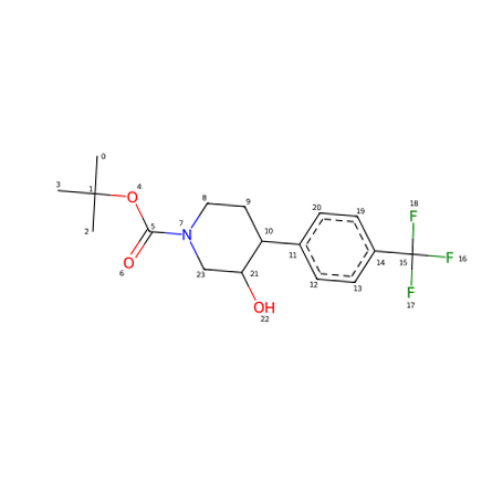 CC(C)(C)OC(=O)N1CCC(c2ccc(C(F)(F)F)cc2)C(O)C1